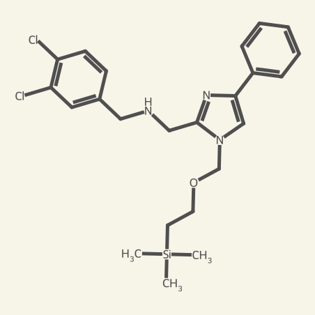 C[Si](C)(C)CCOCn1cc(-c2ccccc2)nc1CNCc1ccc(Cl)c(Cl)c1